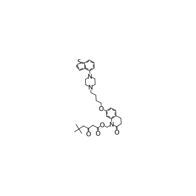 CC(C)(C)CC(=O)CC(=O)OCN1C(=O)CCc2ccc(OCCCCN3CCN(c4cccc5sccc45)CC3)cc21